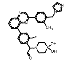 Cc1cc(-c2cnc3cccc(-c4ccc(C(C=O)N5CCS(O)(O)CC5)c(F)c4)c3n2)ccc1Cn1ccnc1